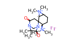 C[N+](C)=C1CC[C]2[C](C13CC(=O)N1CN3C(=O)C1(C)C)[N+]2(C)C.[I-].[I-]